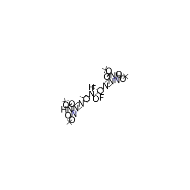 Cc1cc(NC(=O)c2c(F)cc(N3CCN(/C(=N/C(=O)OC(C)(C)C)NC(=O)OC(C)(C)C)CC3)cc2F)ccc1N1CCN(/C(=N/C(=O)OC(C)(C)C)NC(=O)OC(C)(C)C)CC1